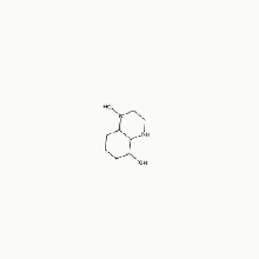 OC1CCCC2C1NCCN2O